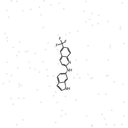 FC(F)(F)c1ccc2nc(Nc3ccc4cc[nH]c4c3)ccc2c1